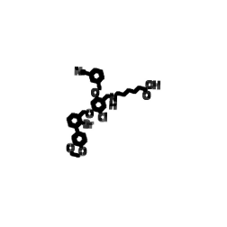 N#Cc1cccc(COc2cc(OCc3cccc(-c4ccc5c(c4)OCCO5)c3Br)c(Cl)cc2CNCCCCCC(=O)O)c1